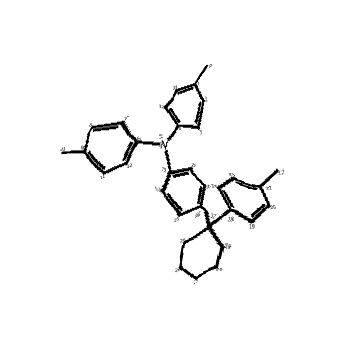 Cc1ccc(N(c2ccc(C)cc2)c2ccc(C3(c4ccc(C)cc4)CCCCC3)cc2)cc1